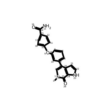 Cn1cc(-c2cccc(Oc3ccc(C(N)=O)cc3)c2)c2cc[nH]c2c1=O